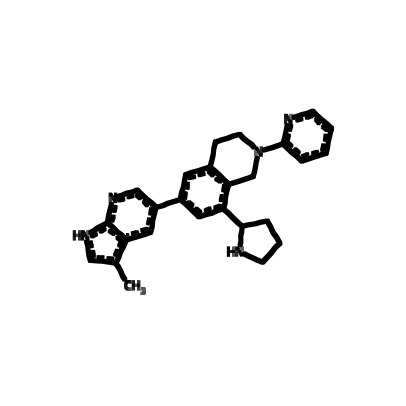 Cc1c[nH]c2ncc(-c3cc4c(c(C5CCCN5)c3)CN(c3ccccn3)CC4)cc12